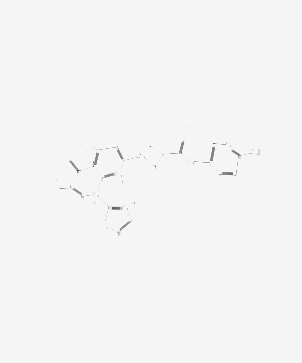 Cc1cc(N2CC(C(=O)Nc3ccc(N)nc3)C2)nc2c1c(=O)c(C(=O)O)cn2-c1nccs1